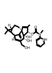 CC1=C[C@@]23CC[C@@H]4C([C@H](C=C(CO)[C@@H](O)[C@]2(O)[C@H]1OC(=O)N(C)C1=CC=CCN1)C3=O)C4(C)C